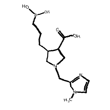 Cn1ccnc1CN1CC(CCCB(O)O)C(C(=O)O)C1